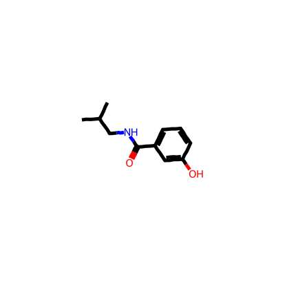 CC(C)CNC(=O)c1cccc(O)c1